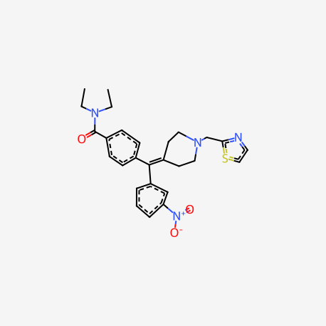 CCN(CC)C(=O)c1ccc(C(=C2CCN(Cc3nccs3)CC2)c2cccc([N+](=O)[O-])c2)cc1